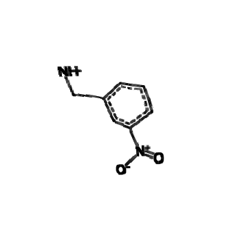 [NH]Cc1cccc([N+](=O)[O-])c1